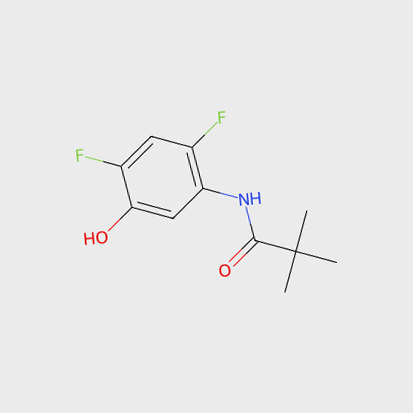 CC(C)(C)C(=O)Nc1cc(O)c(F)cc1F